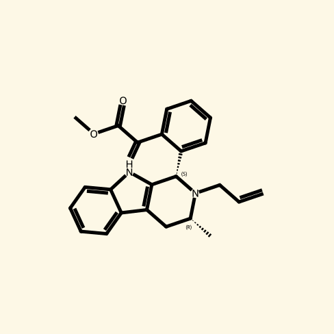 C=CCN1[C@@H](c2ccccc2C(=C)C(=O)OC)c2[nH]c3ccccc3c2C[C@H]1C